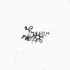 C=CC(=O)OCCC1(F)C(C(=O)O)=C(F)C(Cl)=C(F)C1(CCOC(=O)C=C)C(=O)O